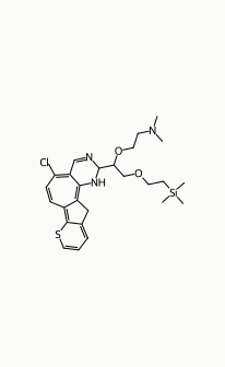 CN(C)CCOC(COCC[Si](C)(C)C)C1N=CC2=C(Cl)C=CC3=C4SC=CC=C4CC3=C2N1